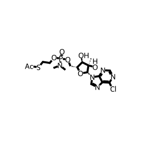 CC(=O)SCCOP(=O)(OC[C@H]1O[C@@H](n2cnc3c(Cl)ncnc32)[C@](C)(O)[C@@H]1O)N(C)C